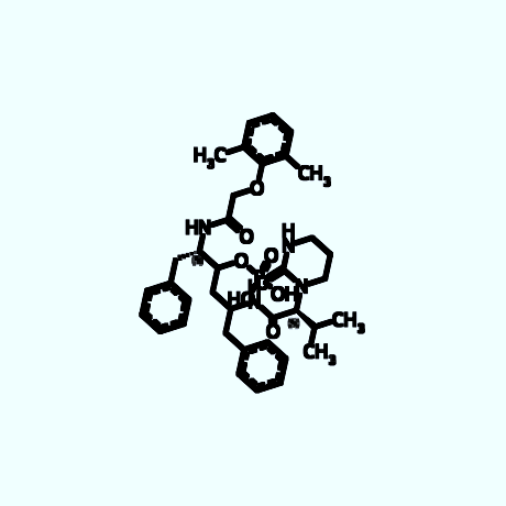 Cc1cccc(C)c1OCC(=O)N[C@@H](Cc1ccccc1)C(CC(Cc1ccccc1)NC(=O)[C@H](C(C)C)N1CCCNC1=O)OP(=O)(O)O